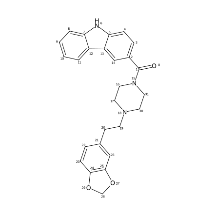 O=C(c1ccc2[nH]c3ccccc3c2c1)N1CCN(CCc2ccc3c(c2)OCO3)CC1